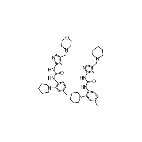 Cc1ccc(NC(=O)Nc2ncc(CN3CCCCC3)s2)c(N2CCCCC2)c1.Cc1ccc(NC(=O)Nc2ncc(CN3CCOCC3)s2)c(N2CCCCC2)c1